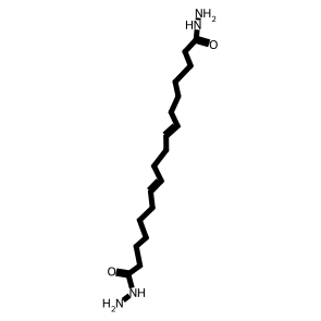 NNC(=O)CCCCCC=CCCC=CCCCCCC(=O)NN